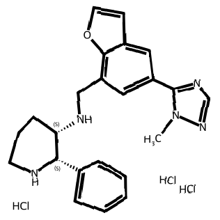 Cl.Cl.Cl.Cn1ncnc1-c1cc(CN[C@H]2CCCN[C@H]2c2ccccc2)c2occc2c1